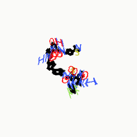 Cc1ncsc1-c1ccc(CNC(=O)[C@@H]2C[C@@H](O)CN2C(=O)[C@@H](NC(=O)Cc2ccc(-c3ccc(CNC(=O)c4cc5c(cc4CS(C)(=O)=O)-c4cn(C)c(=O)c6[nH]cc(c46)CN5c4ncc(F)cc4F)cc3)cc2)C(C)(C)C)cc1